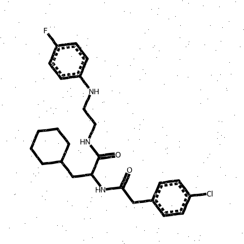 O=C(Cc1ccc(Cl)cc1)NC(CC1CCCCC1)C(=O)NCCNc1ccc(F)cc1